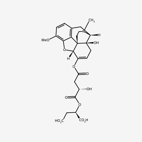 COc1ccc2c3c1O[C@H]1C(OC(=O)C[C@H](O)C(=O)O[C@H](CC(=O)O)C(=O)O)=CC[C@@]4(O)[C@@H](C2)N(C)CC[C@]314